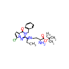 CCC(NCCC(N)C(=O)OC(C)(C)C)c1nn2c(Cl)ccc2c(=O)n1Cc1ccccc1